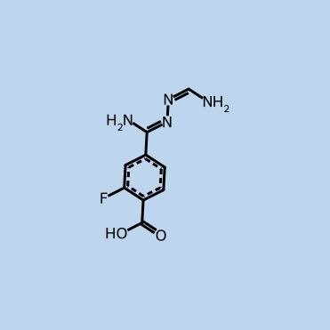 N/C=N\N=C(/N)c1ccc(C(=O)O)c(F)c1